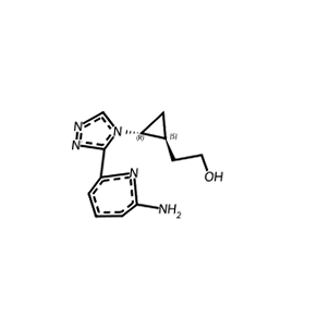 Nc1cccc(-c2nncn2[C@@H]2C[C@H]2CCO)n1